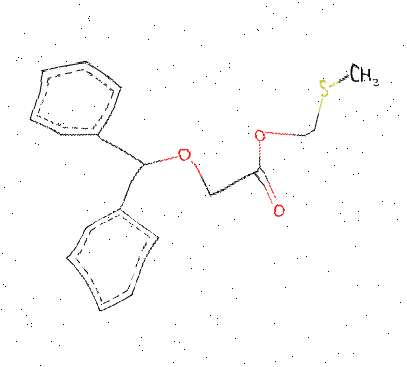 CSCOC(=O)COC(c1ccccc1)c1ccccc1